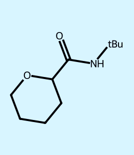 CC(C)(C)NC(=O)C1CCCCO1